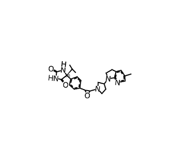 Cc1cnc2c(c1)CCN2C1CCN(C2OC2c2ccc([C@@]3(C(C)C)NC(=O)NC3=O)cc2)C1